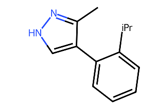 Cc1n[nH]cc1-c1ccccc1C(C)C